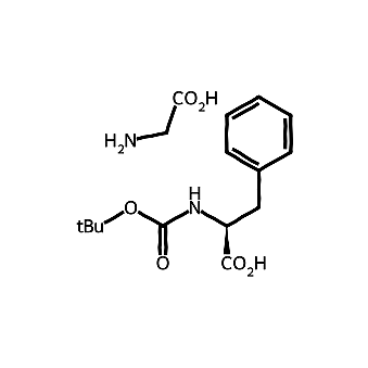 CC(C)(C)OC(=O)N[C@@H](Cc1ccccc1)C(=O)O.NCC(=O)O